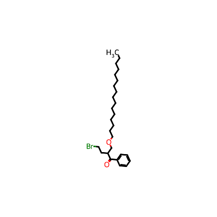 CCCCCCCCCCCCCCCCOCC(CCBr)C(=O)c1ccccc1